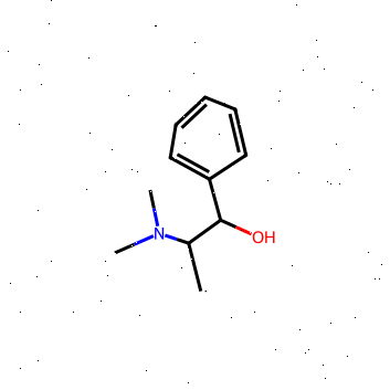 [CH2]C(C(O)c1ccccc1)N(C)C